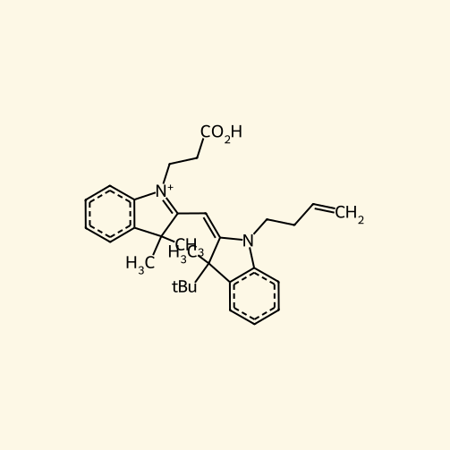 C=CCCN1/C(=C/C2=[N+](CCC(=O)O)c3ccccc3C2(C)C)C(C)(C(C)(C)C)c2ccccc21